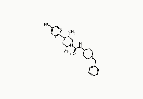 C[C@@H]1CN(c2ncc(C#N)cn2)[C@H](C)CN1C(=O)NC1CCN(Cc2ccccc2)CC1